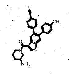 Cc1ccc(-c2cc3scc(C(=O)N4CCCC(N)C4)c3cc2-c2ccc(C#N)cc2)cc1